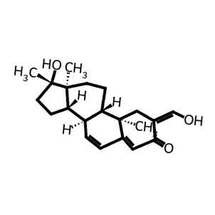 C[C@]12C/C(=C/O)C(=O)C=C1C=C[C@@H]1[C@@H]2CC[C@@]2(C)[C@H]1CC[C@]2(C)O